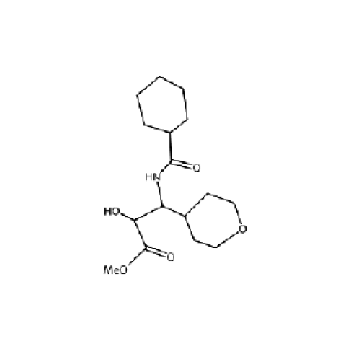 COC(=O)C(O)C(NC(=O)C1CCCCC1)C1CCOCC1